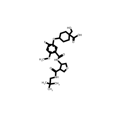 COc1cc(F)c(OC2CCC(CO)(C(=O)O)CC2)cc1C(=O)NC1COCC1C(=O)NCC(C)(C)C